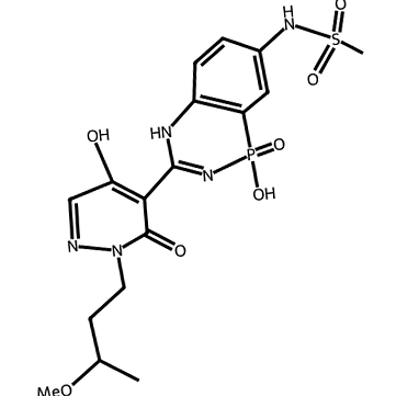 COC(C)CCn1ncc(O)c(C2=NP(=O)(O)c3cc(NS(C)(=O)=O)ccc3N2)c1=O